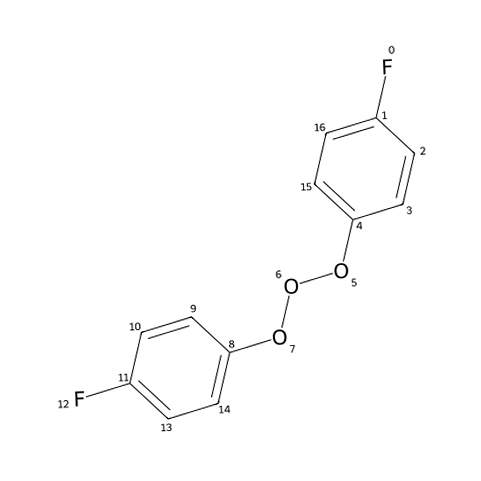 Fc1ccc(OOOc2ccc(F)cc2)cc1